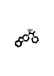 CC(C(O)N1CCn2c(cc3ccccc32)C1)N1CCCCC1